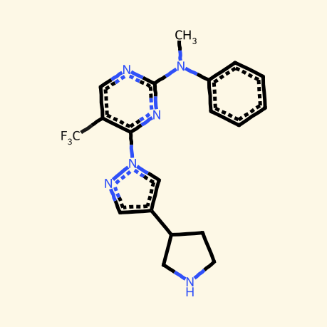 CN(c1ccccc1)c1ncc(C(F)(F)F)c(-n2cc(C3CCNC3)cn2)n1